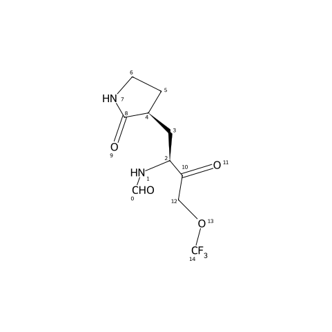 O=CN[C@@H](C[C@@H]1CCNC1=O)C(=O)COC(F)(F)F